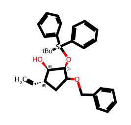 C=C[C@H]1CC(OCc2ccccc2)[C@H](O[Si](c2ccccc2)(c2ccccc2)C(C)(C)C)[C@@H]1O